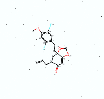 C=CC[C@H]1C[C@]2(CCc3cc(F)c(OC)cc3F)OCOC2=CC1=O